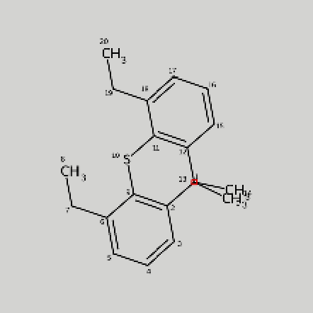 CCc1cccc(CC)c1Sc1c(CC)cccc1CC